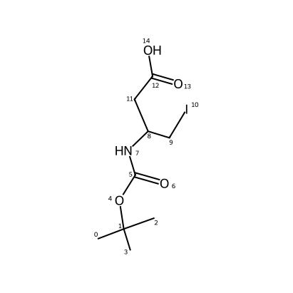 CC(C)(C)OC(=O)NC(CI)CC(=O)O